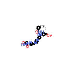 O=C1CCN(c2ccc(CN3CCN(c4ccc5c(c4)nc(NC(=O)c4cccc(C(F)(F)F)c4)n5C4CCC(CO)CC4)CC3)cn2)C(=O)N1